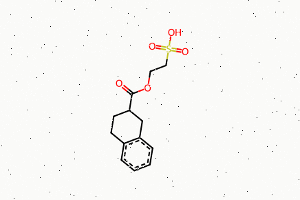 O=C(OCCS(=O)(=O)O)C1CCc2ccccc2C1